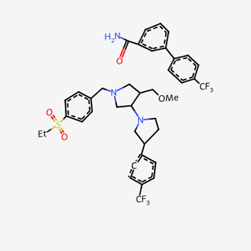 CCS(=O)(=O)c1ccc(CN2CC(COC)C(N3CCC(c4ccc(C(F)(F)F)cc4)C3)C2)cc1.NC(=O)c1cccc(-c2ccc(C(F)(F)F)cc2)c1